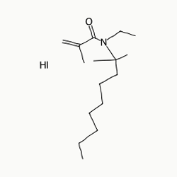 C=C(C)C(=O)N(CC)C(C)(C)CCCCCCC.I